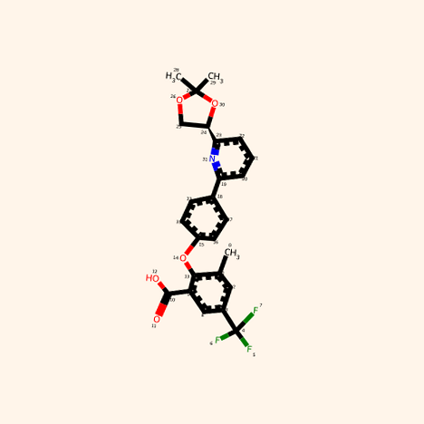 Cc1cc(C(F)(F)F)cc(C(=O)O)c1Oc1ccc(-c2cccc([C@H]3COC(C)(C)O3)n2)cc1